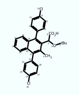 Cc1c(C(OC(C)(C)C)C(=O)O)c(-c2ccc(Cl)cc2)c2ccccc2c1-c1ccc(Cl)cc1